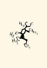 C=C(CF)C1CC(C)/C(=C(\C)CC)C1CC